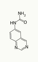 NC(=O)Nc1ccc2ncncc2c1